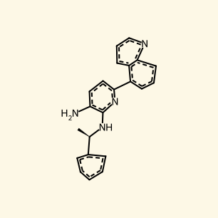 C[C@@H](Nc1nc(-c2cccc3ncccc23)ccc1N)c1ccccc1